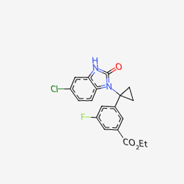 CCOC(=O)c1cc(F)cc(C2(n3c(=O)[nH]c4cc(Cl)ccc43)CC2)c1